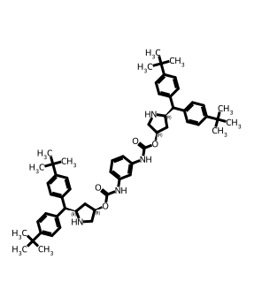 CC(C)(C)c1ccc(C(c2ccc(C(C)(C)C)cc2)[C@H]2C[C@@H](OC(=O)Nc3cccc(NC(=O)O[C@H]4CN[C@@H](C(c5ccc(C(C)(C)C)cc5)c5ccc(C(C)(C)C)cc5)C4)c3)CN2)cc1